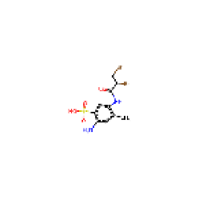 Cc1cc(N)c(S(=O)(=O)O)cc1NC(=O)C(Br)CBr